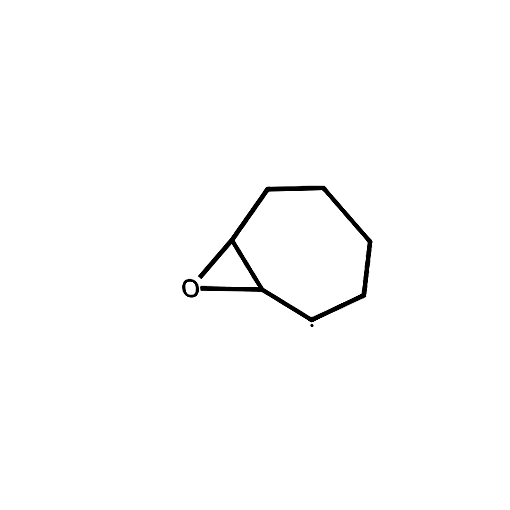 [CH]1CCCCC2OC12